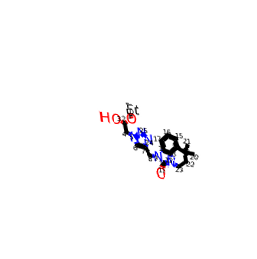 CCOC(O)Cn1cc(Cn2c(=O)n3c4c(cccc42)C(C)(C)CC3)nn1